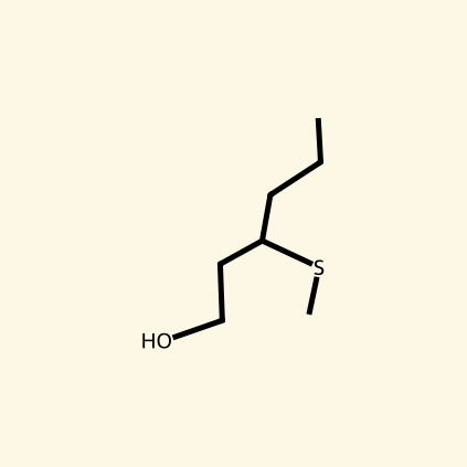 CCCC(CCO)SC